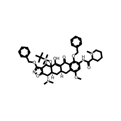 COc1cc(NC(=O)C2CCCCN2C)c(OCc2ccccc2)c2c1C[C@H]1C[C@H]3[C@H](N(C)C)c4onc(OCc5ccccc5)c4C(=O)C3(O[Si](C)(C)C(C)(C)C)C(O)=C1C2=O